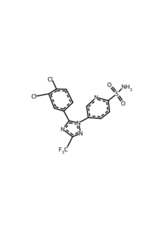 NS(=O)(=O)c1ccc(-n2nc(C(F)(F)F)nc2-c2ccc(Cl)c(Cl)c2)cn1